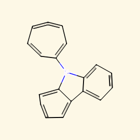 C1=CC=CC(n2c3ccccc3c3ccccc32)=CC=1